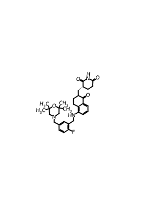 CC1(C)CN(Cc2ccc(F)c(CNc3cccc4c3CCC(C[C@H]3CCC(=O)NC3=O)C4=O)c2)CC(C)(C)O1